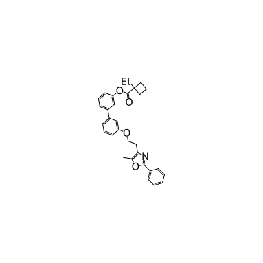 CCC1(C(=O)Oc2cccc(-c3cccc(OCCc4nc(-c5ccccc5)oc4C)c3)c2)CCC1